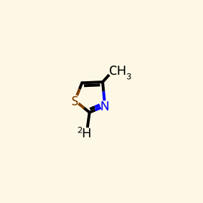 [2H]c1nc(C)cs1